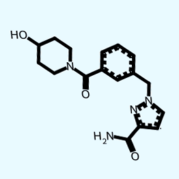 NC(=O)c1[c]cn(Cc2cccc(C(=O)N3CCC(O)CC3)c2)n1